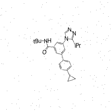 CC(C)c1nncn1-c1cc(C(=O)NC(C)(C)C)cc(-c2ccc(C3CC3)cc2)c1